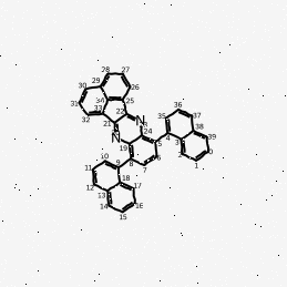 c1ccc2c(-c3ccc(-c4cccc5ccccc45)c4nc5c(nc34)-c3cccc4cccc-5c34)cccc2c1